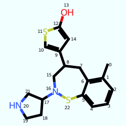 Cc1cccc2c1CC(c1csc(O)c1)CN(C1CCNC1)S2